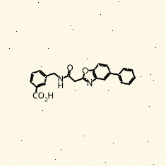 O=C(Cc1nc2cc(-c3ccccc3)ccc2o1)NCc1cccc(C(=O)O)c1